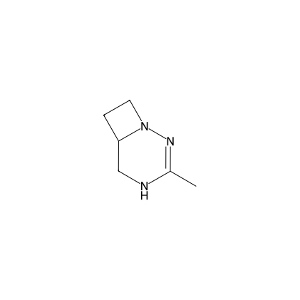 CC1=NN2CCC2CN1